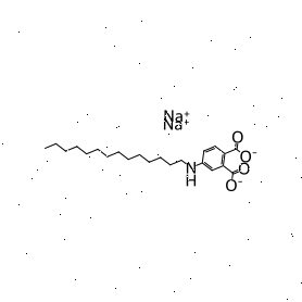 CCCCCCCCCCCCCCNc1ccc(C(=O)[O-])c(C(=O)[O-])c1.[Na+].[Na+]